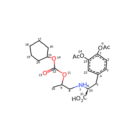 CC(=O)Oc1ccc(C[C@H](NCC(C)OC(=O)OC2CCCCC2)C(=O)O)cc1OC(C)=O